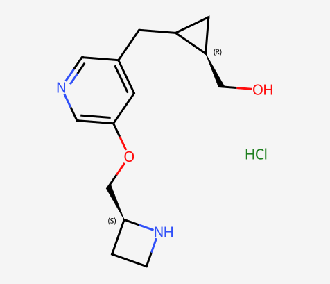 Cl.OC[C@@H]1CC1Cc1cncc(OC[C@@H]2CCN2)c1